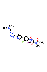 CC(=O)N(C)[C@H]1C[N+]([O-])(c2ccc(-c3ccc(-c4nnn(CCN(C)C)n4)nc3)c(F)c2)C(I)O1